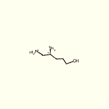 NC[C@@H](N)CCCO